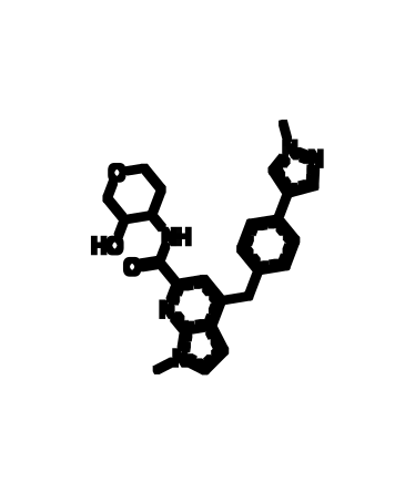 Cn1cc(-c2ccc(Cc3cc(C(=O)NC4CCOCC4O)nc4c3ccn4C)cc2)cn1